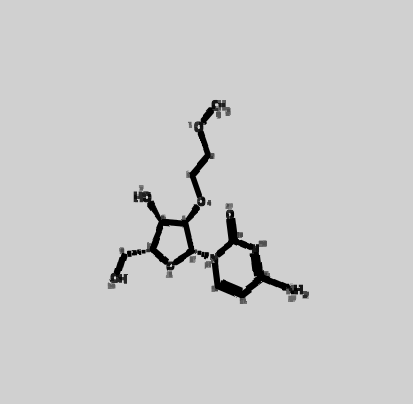 COCCO[C@@H]1[C@H](O)[C@@H](CO)O[C@H]1n1ccc(N)nc1=O